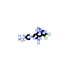 CC1(N)CCN(c2cc(-c3nnn[nH]3)c3c(-c4ccnc(Cl)c4Cl)n[nH]c3n2)CC1